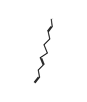 [CH2]C=CCCCC=CCC=C